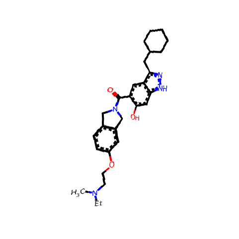 CCN(C)CCOc1ccc2c(c1)CN(C(=O)c1cc3c(CC4CCCCC4)n[nH]c3cc1O)C2